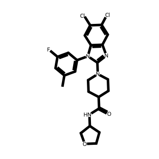 Cc1cc(F)cc(-n2c(N3CCC(C(=O)NC4CCOC4)CC3)nc3cc(Cl)c(Cl)cc32)c1